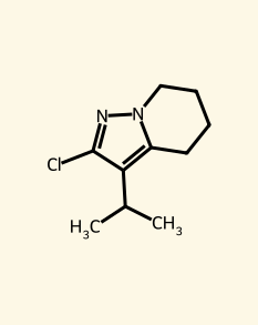 CC(C)c1c(Cl)nn2c1CCCC2